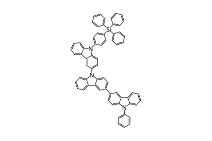 c1ccc(-n2c3ccccc3c3cc(-c4ccc5c(c4)c4ccccc4n5-c4ccc5c(c4)c4ccccc4n5-c4ccc([Si](c5ccccc5)(c5ccccc5)c5ccccc5)cc4)ccc32)cc1